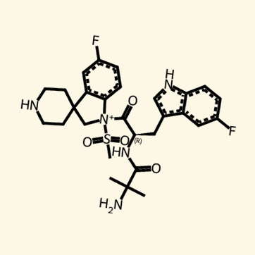 CC(C)(N)C(=O)N[C@H](Cc1c[nH]c2ccc(F)cc12)C(=O)[N+]1(S(C)(=O)=O)CC2(CCNCC2)c2cc(F)ccc21